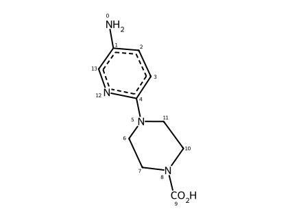 Nc1ccc(N2CCN(C(=O)O)CC2)nc1